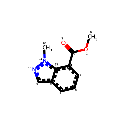 COC(=O)c1cccc2cnn(C)c12